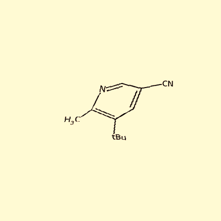 Cc1ncc(C#N)cc1C(C)(C)C